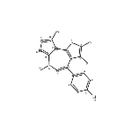 Cc1sc2c(c1C)C(c1ccc(Cl)cc1)=NN(C)c1nnc(C)n1-2